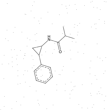 CC(C)C(=O)NC1CC1c1ccccc1